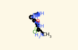 C[C@H](N)CCCc1cc(Cl)c(F)c(-c2cc3cn(-c4ccc([C@@H]5CCCC[C@@H](CNCc6c[nH]nn6)N5)cc4)c(=O)nc3[nH]2)c1